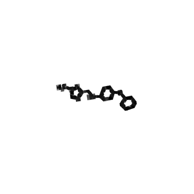 Cn1cnc(CNc2ccc(Oc3ccccc3)cc2)n1